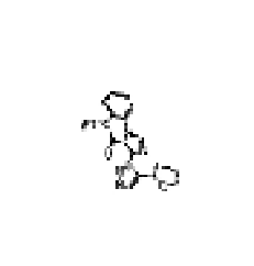 CC(C)n1c(=O)c2c(-n3nncc3C3CCCO3)ncn2c2ccccc21